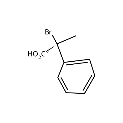 C[C@@](Br)(C(=O)O)c1ccccc1